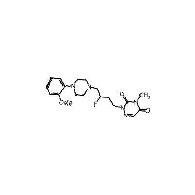 COc1ccccc1N1CCN(CC(F)CCn2ncc(=O)n(C)c2=O)CC1